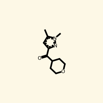 Cc1cc(C(=O)C2CCOCC2)nn1C